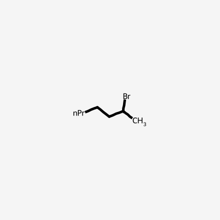 CCCCC[C](C)Br